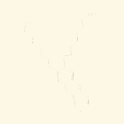 CCCCCCCCCCCCCCCCOc1cc2cc3ccccc3cc2cc1OCCCCCCCCCCCCCCCC